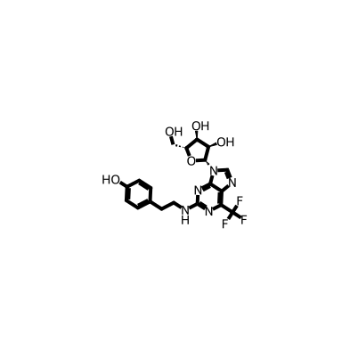 OC[C@H]1O[C@@H](n2cnc3c(C(F)(F)F)nc(NCCc4ccc(O)cc4)nc32)[C@H](O)[C@@H]1O